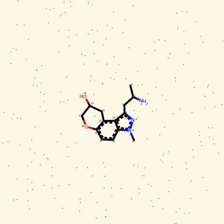 CC(N)Cc1nn(C)c2ccc3c(c12)CC(O)CO3